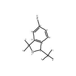 CC1(C)OC(C(C)(C)C)c2ccc(F)cc21